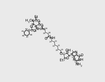 CC[C@H]1O[C@@H](n2cnc3c(=O)[nH]c(N)nc32)[C@@H](O)C1OCCCCCCNC(=O)CCCCO[C@@H]1O[C@H](CC)[C@H](C)[C@H](OC(=O)c2ccccc2)[C@H]1NC(C)=O